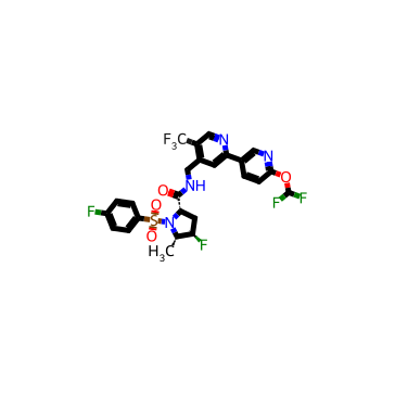 C[C@H]1[C@H](F)C[C@@H](C(=O)NCc2cc(-c3ccc(OC(F)F)nc3)ncc2C(F)(F)F)N1S(=O)(=O)c1ccc(F)cc1